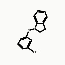 O=C(O)c1cccc(SN2CCc3ccccc32)c1